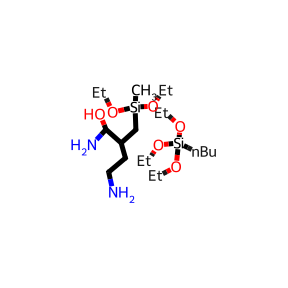 CCCC[Si](OCC)(OCC)OCC.CCO[Si](C)(CC(CCN)C(N)O)OCC